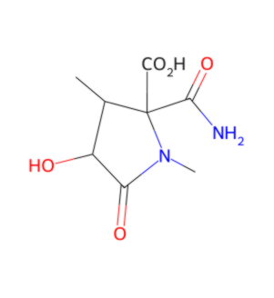 CC1C(O)C(=O)N(C)C1(C(N)=O)C(=O)O